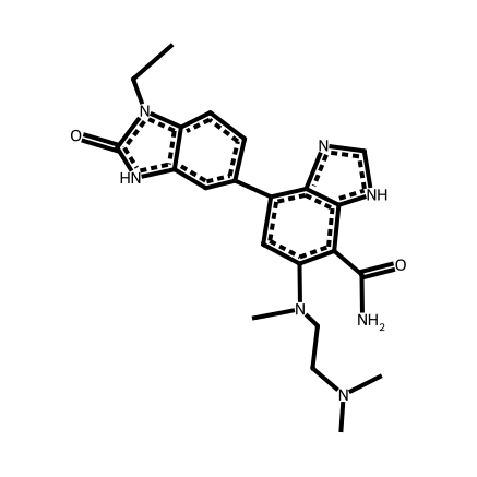 CCn1c(=O)[nH]c2cc(-c3cc(N(C)CCN(C)C)c(C(N)=O)c4[nH]cnc34)ccc21